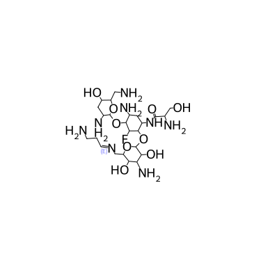 NCC/C=N/CC1OC(OC2C(NC(=O)C(N)CO)CC(N)C(OC3OC(CN)C(O)CC3N)C2F)C(O)C(N)C1O